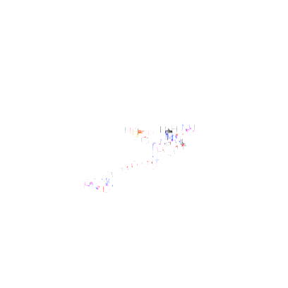 CCCC[C@H](NC(=O)/C=C(\C)c1ccc(C(F)(F)P(=O)(O)O)cc1)C(=O)N1C[C@H]2C[C@H]2[C@H]1C(=O)N[C@@H](CCC(N)=O)[C@@H](C)OCc1ccc(CCCNC(=O)COCCOCCOCCCc2ccc3c(c2)n(C)c(=O)n3C2CCC(=O)NC2=O)cc1